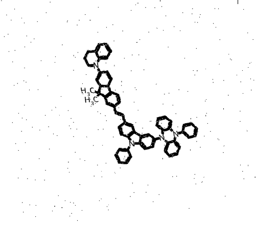 CC1(C)c2cc(/C=C/c3ccc4c(c3)c3cc(N5c6ccccc6N(c6ccccc6)c6ccccc65)ccc3n4-c3ccccc3)ccc2C2C=CC(N3CCCc4ccccc43)=CC21